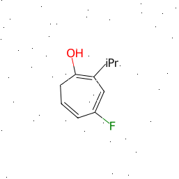 CC(C)C1=C(O)CC=CC(F)=C1